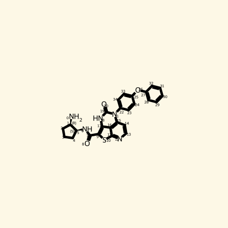 N[C@@H]1CCC[C@@H]1NC(=O)c1sc2nccc3c2c1NC(=O)N3c1ccc(Oc2ccccc2)cc1